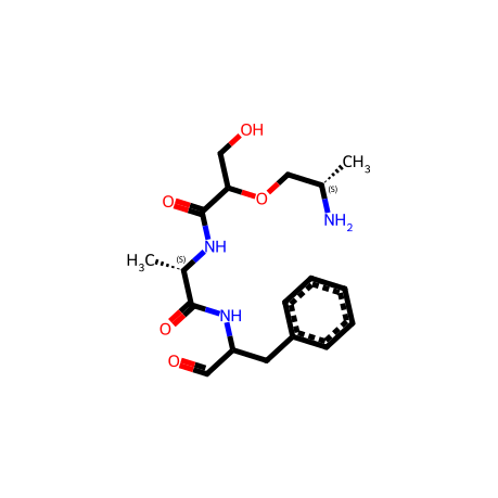 C[C@H](N)COC(CO)C(=O)N[C@@H](C)C(=O)NC(C=O)Cc1ccccc1